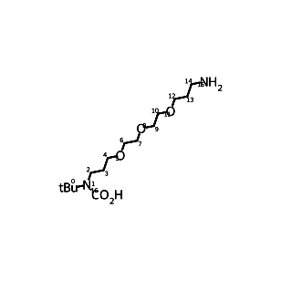 CC(C)(C)N(CCCOCCOCCOCCCN)C(=O)O